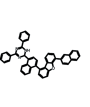 c1ccc(C2=NC(c3ccc(-c4cccc5oc6c(-c7ccc8ccccc8c7)cccc6c45)c4ccccc34)NC(c3ccccc3)=N2)cc1